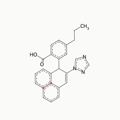 CCCc1ccc(C(=O)O)c(C(/C(=C\c2ccccc2)n2cncn2)c2ccccc2)c1